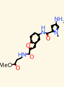 COC(=O)CCNC(=O)c1cc2cc(NC(=O)c3cc(N)cn3C)ccc2o1